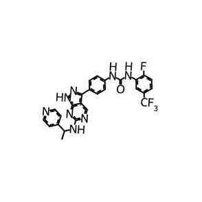 CC(Nc1ncc2c(-c3ccc(NC(=O)Nc4cc(C(F)(F)F)ccc4F)cc3)n[nH]c2n1)c1ccncc1